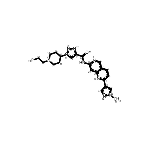 Cn1cc(-c2ccc3cnc(NC(=O)c4cn(C5CCN(CCF)CC5)nn4)cc3n2)cn1